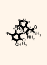 Cc1c(O)cc(F)c(C)c1-n1c(N)c(C(N)=O)c2cncc(F)c21